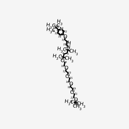 CC(C)(CCC(C)(C)OCCOCCOCCOCCOCCOC(C)(C)C)NCCCOc1ccc(C(C)(C)C)nc1